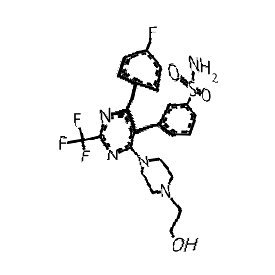 NS(=O)(=O)c1cccc(-c2c(-c3ccc(F)cc3)nc(C(F)(F)F)nc2N2CCN(CCO)CC2)c1